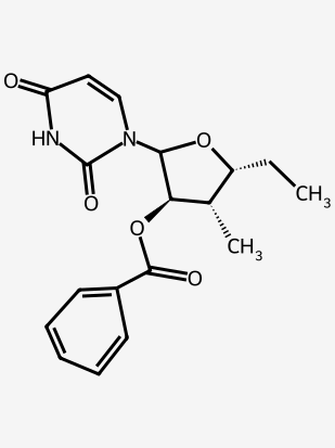 CC[C@H]1OC(n2ccc(=O)[nH]c2=O)[C@H](OC(=O)c2ccccc2)[C@H]1C